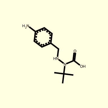 CC(C)(C)N(NCc1ccc(N)cc1)C(=O)O